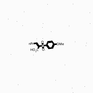 CCCC=C(C(=O)O)S(=O)(=O)c1ccc(OC)cc1